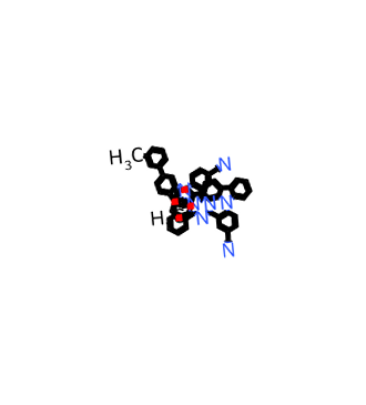 Cc1cccc(-c2ccc3c4ccccc4n(-c4ccc(C#N)cc4-c4nc(-c5ccccc5)nc(-c5cc(C#N)ccc5-n5c6ccccc6c6ccc(-c7cccc(C)c7)cc65)n4)c3c2)c1